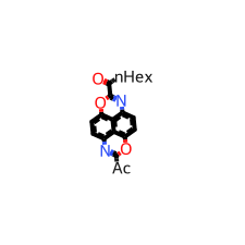 CCCCCCC(=O)C1=Nc2ccc3c4c(ccc(c24)O1)N=C(C(C)=O)O3